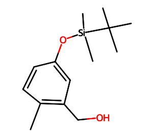 Cc1ccc(O[Si](C)(C)C(C)(C)C)cc1CO